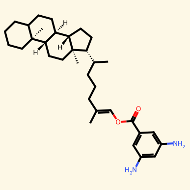 CC(=COC(=O)c1cc(N)cc(N)c1)CCCC(C)[C@H]1CC[C@H]2[C@@H]3CCC4CCCC[C@]4(C)[C@H]3CC[C@]12C